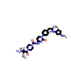 CC(Cc1ccc(-n2ccc(NC(=O)N3CCN(C(=O)C(C)(C)N)CC3)nc2=O)cc1)NC1CCC(N)C1